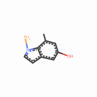 Cc1cc(O)cc2ccn(P)c12